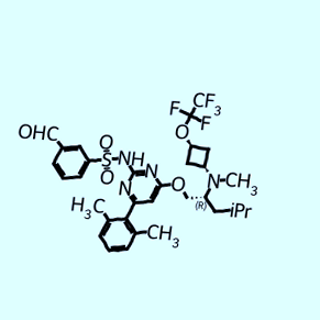 Cc1cccc(C)c1-c1cc(OC[C@@H](CC(C)C)N(C)[C@H]2C[C@H](OC(F)(F)C(F)(F)F)C2)nc(NS(=O)(=O)c2cccc(C=O)c2)n1